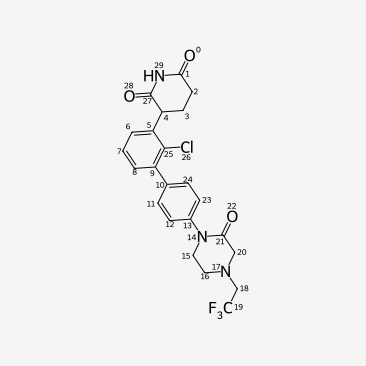 O=C1CCC(c2cccc(-c3ccc(N4CCN(CC(F)(F)F)CC4=O)cc3)c2Cl)C(=O)N1